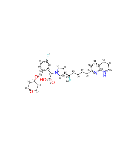 O=C(O)C(c1cc(F)ccc1COC1CCOCC1)N1CC[C@@H](C(F)CCCCc2ccc3c(n2)NCCC3)C1